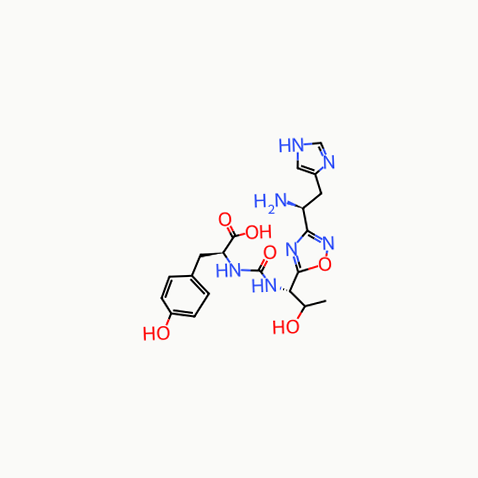 CC(O)[C@H](NC(=O)N[C@@H](Cc1ccc(O)cc1)C(=O)O)c1nc([C@@H](N)Cc2c[nH]cn2)no1